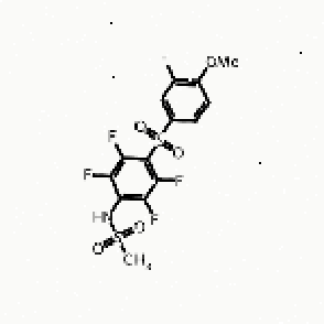 COc1ccc(S(=O)(=O)c2c(F)c(F)c(NS(C)(=O)=O)c(F)c2F)cc1F